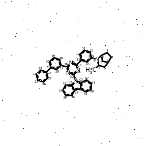 CC1CC2CCC(C2)N1c1cccc(-c2nc(-c3cccc(-c4ccccc4)c3)nc(-n3c4ccccc4c4ccccc43)n2)c1